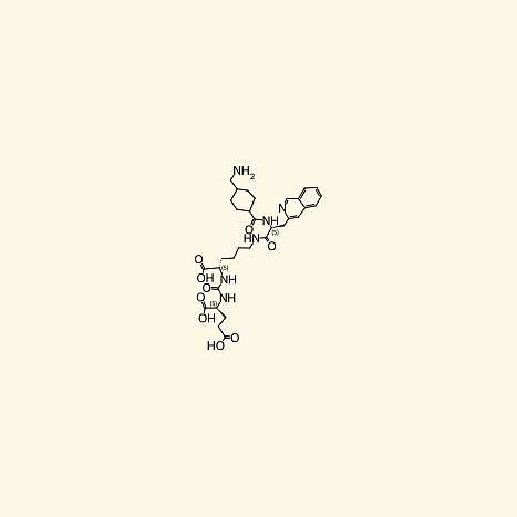 NCC1CCC(C(=O)N[C@@H](Cc2cc3ccccc3cn2)C(=O)NCCCC[C@H](NC(=O)N[C@@H](CCC(=O)O)C(=O)O)C(=O)O)CC1